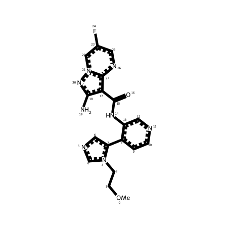 COCCn1cncc1-c1ccncc1NC(=O)c1c(N)nn2cc(F)cnc12